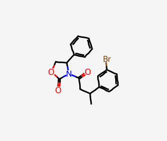 CC(CC(=O)N1C(=O)OCC1c1ccccc1)c1cccc(Br)c1